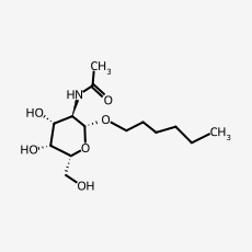 CCCCCCO[C@@H]1O[C@H](CO)[C@H](O)[C@H](O)[C@H]1NC(C)=O